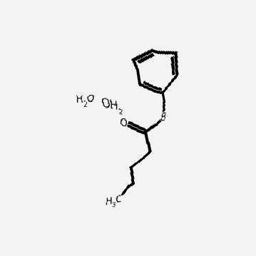 CCCCC(=O)[B]c1ccccc1.O.O